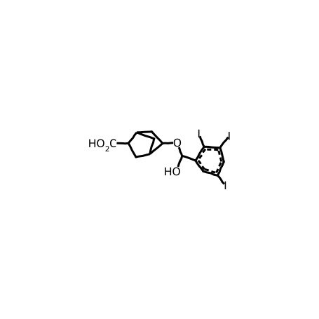 O=C(O)C1CC2CC1CC2OC(O)c1cc(I)cc(I)c1I